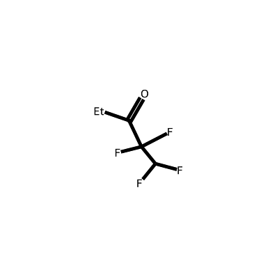 CCC(=O)C(F)(F)C(F)F